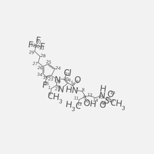 CCc1nc(C(=O)NCC(O)(CC)CCNS(C)(=O)=O)c(Cl)n1-c1ccc(CCCC(F)(F)F)cc1F